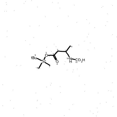 CC(CC(=O)O[Si](C)(C)C(C)(C)C)NC(=O)O